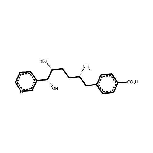 CC(C)(C)[C@H](CC[C@H](N)Cc1ccc(C(=O)O)cc1)[C@H](O)c1cccnc1